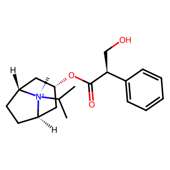 CC(C)[N@+]1(C)[C@@H]2CC[C@@H]1C[C@@H](OC(=O)[C@@H](CO)c1ccccc1)C2